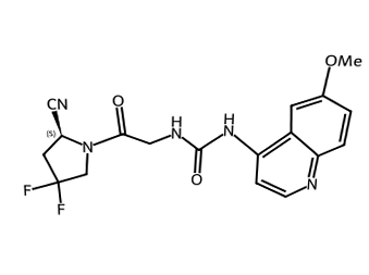 COc1ccc2nccc(NC(=O)NCC(=O)N3CC(F)(F)C[C@H]3C#N)c2c1